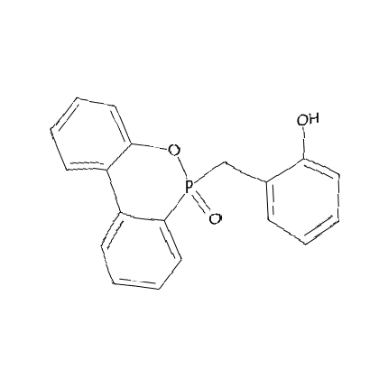 O=P1(Cc2ccccc2O)Oc2ccccc2-c2ccccc21